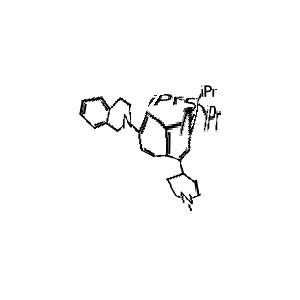 CC(C)[Si](C(C)C)(C(C)C)n1cc(C2CCN(C)CC2)c2ccc(N3CCc4ccccc4C3)cc21